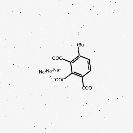 CC(C)(C)c1ccc(C(=O)[O-])c(C(=O)[O-])c1C(=O)[O-].[Na+].[Na+].[Na+]